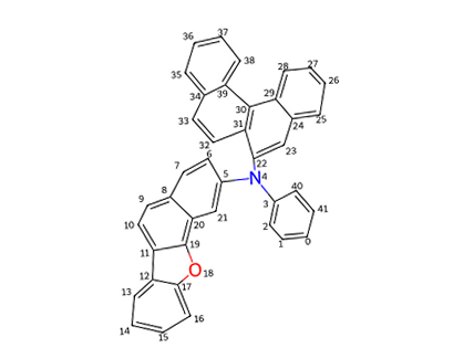 c1ccc(N(c2ccc3ccc4c5ccccc5oc4c3c2)c2cc3ccccc3c3c2ccc2ccccc23)cc1